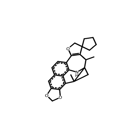 CC1C2=C(OCC23CCCC3)c2ccc3cc4c(c5c3c2NC12CC52C)OCO4